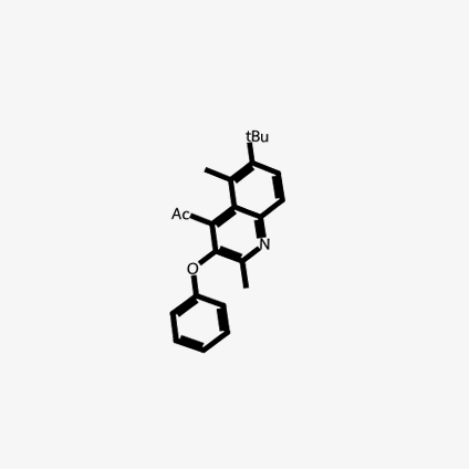 CC(=O)c1c(Oc2ccccc2)c(C)nc2ccc(C(C)(C)C)c(C)c12